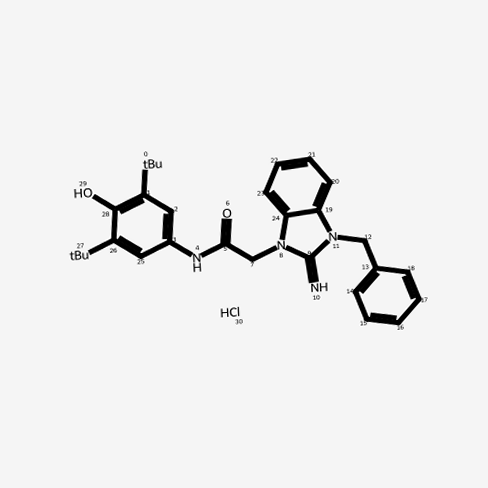 CC(C)(C)c1cc(NC(=O)Cn2c(=N)n(Cc3ccccc3)c3ccccc32)cc(C(C)(C)C)c1O.Cl